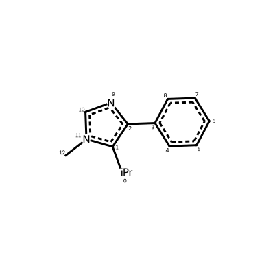 CC(C)c1c(-c2ccccc2)ncn1C